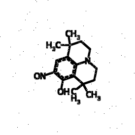 CC1(C)CCN2CCC(C)(C)c3c(O)c(N=O)cc1c32